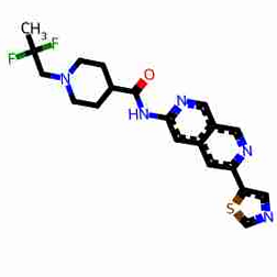 CC(F)(F)CN1CCC(C(=O)Nc2cc3cc(-c4cncs4)ncc3cn2)CC1